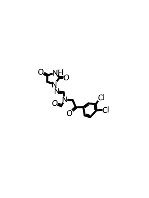 O=CN(C=NN1CC(=O)NC1=O)CC(=O)c1ccc(Cl)c(Cl)c1